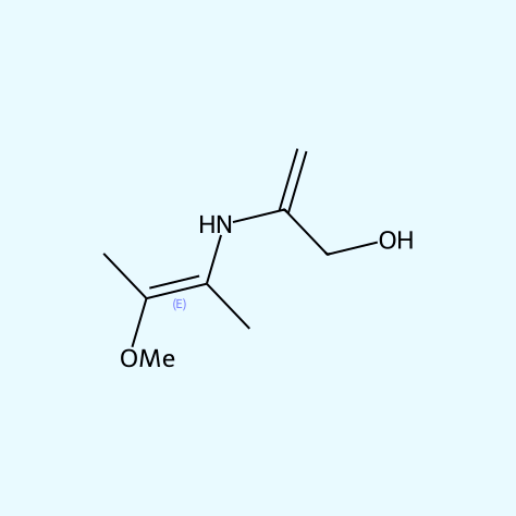 C=C(CO)N/C(C)=C(\C)OC